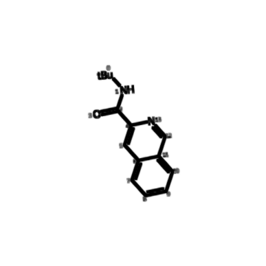 CC(C)(C)NC(=O)c1cc2ccccc2cn1